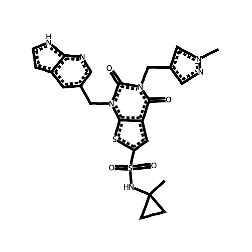 Cn1cc(Cn2c(=O)c3cc(S(=O)(=O)NC4(C)CC4)sc3n(Cc3cnc4[nH]ccc4c3)c2=O)cn1